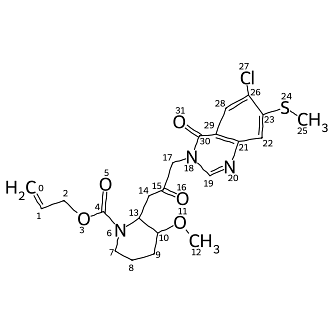 C=CCOC(=O)N1CCCC(OC)C1CC(=O)Cn1cnc2cc(SC)c(Cl)cc2c1=O